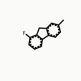 Cc1ccc2c(c1)Cc1c(F)cccc1-2